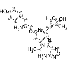 CCn1c(-c2nonc2N)nc2c(C#CC(C)(C)O)nc(OC[C@@H](N)Cc3ccc(O)cc3)cc21